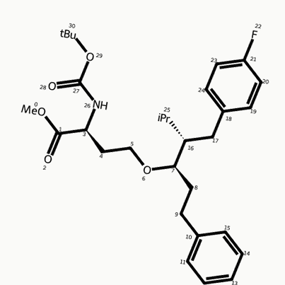 COC(=O)[C@H](CCO[C@H](CCc1ccccc1)[C@@H](Cc1ccc(F)cc1)C(C)C)NC(=O)OC(C)(C)C